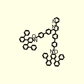 c1ccc(-c2ccccc2-c2cc3nc(-c4ccc(-c5ccc(-c6ccc(-c7ccccn7)nc6-c6ccc(-c7ccc(-c8nc9cc(-c%10ccccc%10-c%10ccccc%10)c(-c%10ccccc%10-c%10ccccc%10)cc9o8)cc7)cc6)cc5)cc4)oc3cc2-c2ccccc2-c2ccccc2)cc1